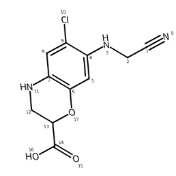 N#CCNc1cc2c(cc1Cl)NCC(C(=O)O)O2